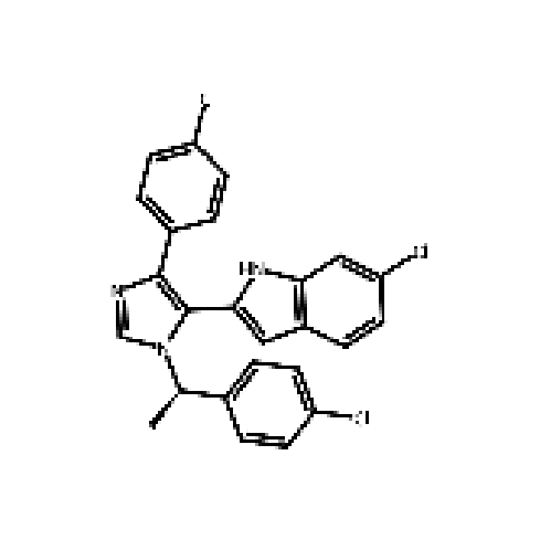 C[C@H](c1ccc(Cl)cc1)n1cnc(-c2ccc(Cl)cc2)c1-c1cc2ccc(Cl)cc2[nH]1